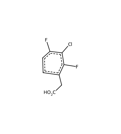 O=C(O)Cc1ccc(F)c(Cl)c1F